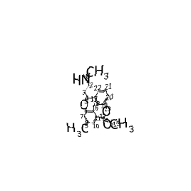 CNCCC(Oc1cc(C)cc(C(=O)OC)c1)c1ccccc1